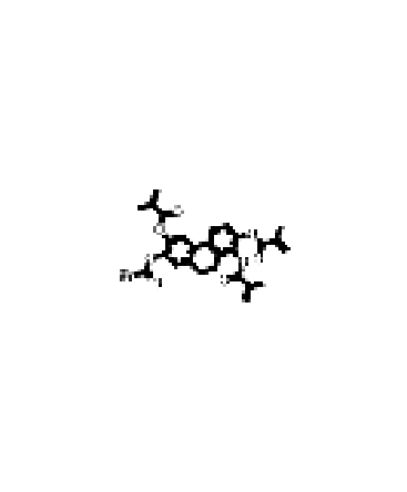 C=C(C)C(=O)Oc1cc2c(cc1OC(=O)C(C)C)CCc1c-2ccc(OC(=O)C(=C)C)c1OC(=O)C(=C)C